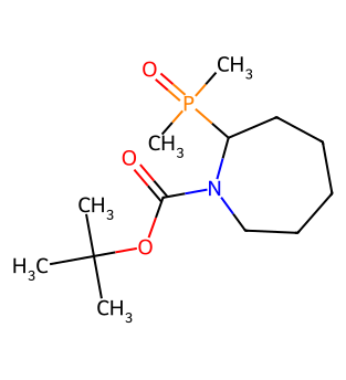 CC(C)(C)OC(=O)N1CCCCCC1P(C)(C)=O